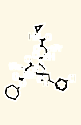 CCC[C@H](NC(=O)[C@@H]1C[C@]2(CC(c3cccc(Cl)c3)=NO2)CN1C(=O)[C@@H](NC(=O)OC1CCCCCC1)C(C)(C)C)C(=O)C(=O)NC1CC1